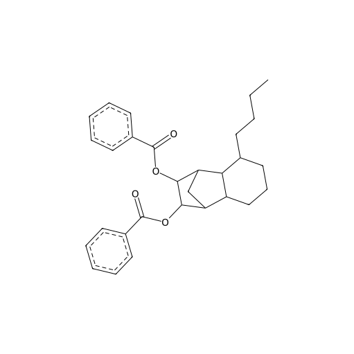 CCCCC1CCCC2C3CC(C(OC(=O)c4ccccc4)C3OC(=O)c3ccccc3)C12